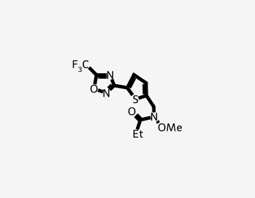 CCC(=O)N(Cc1ccc(-c2noc(C(F)(F)F)n2)s1)OC